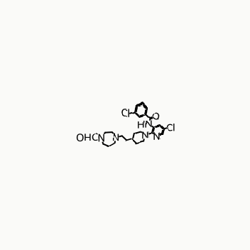 O=CN1CCCN(CCC2CCN(c3ncc(Cl)cc3NC(=O)c3cccc(Cl)c3)CC2)CC1